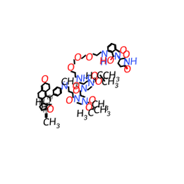 CC#C[C@]12CC[C@H]3[C@@H]4CCC5=CC(=O)CCC5=C4[C@@H](c4ccc(N(C)CCCC(=O)N5CCN(C(=O)OC(C)(C)C)CC5C(=O)N5CCN(C(=O)OC(C)(C)C)CC5C(=O)NCCCOCCOCCOCCCNc5cccc6c5C(O)N(C5CCC(=O)NC5=O)C6=O)cc4)C[C@@]31CO2